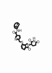 O=C1CCC(N2Cc3c(SCc4ccc(C(=O)NC56CC7CC(CC5C7)C6)cn4)cccc3C2=O)C(=O)N1